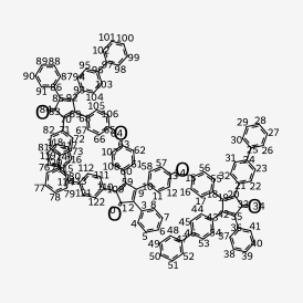 O=C1C(c2ccccc2)=C(c2ccc(Oc3ccc(C4=C(c5ccc(-c6ccccc6)cc5)C(=O)C(c5ccccc5)=C4c4ccc(-c5ccccc5)cc4)cc3)cc2)C(c2ccc(Oc3ccc(C4=C(c5ccc(-c6ccccc6)cc5)C(=O)C(c5ccccc5)=C4c4ccc(-c5ccccc5)cc4)cc3)cc2)=C1c1ccc(Cc2ccccc2)cc1